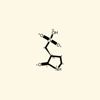 O=C1NCC[C@@H]1CS(=O)(=O)O